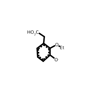 CCOc1c([O])cccc1CC(=O)O